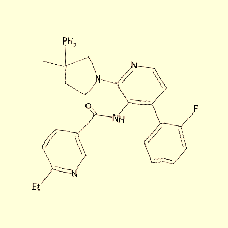 CCc1ccc(C(=O)Nc2c(-c3ccccc3F)ccnc2N2CCC(C)(P)C2)cn1